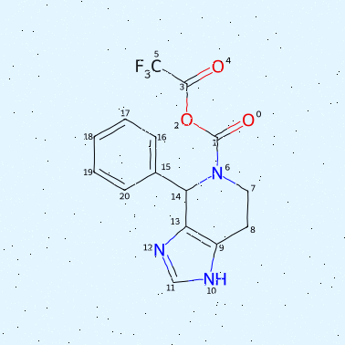 O=C(OC(=O)C(F)(F)F)N1CCc2[nH]cnc2C1c1ccccc1